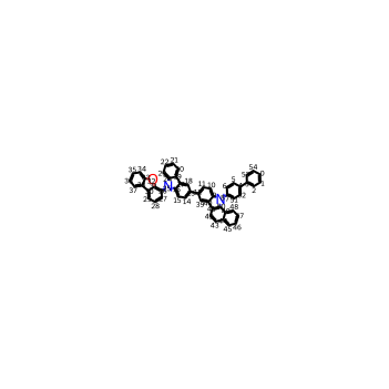 c1ccc(-c2ccc(-n3c4ccc(-c5ccc6c(c5)c5ccccc5n6-c5cccc6c5oc5ccccc56)cc4c4ccc5ccccc5c43)cc2)cc1